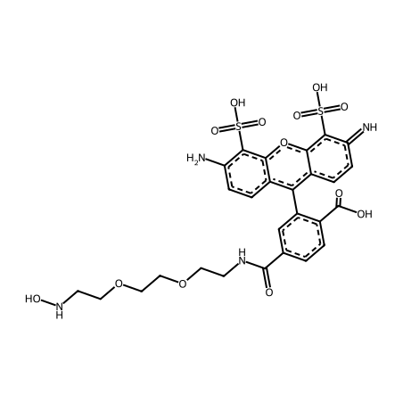 N=c1ccc2c(-c3cc(C(=O)NCCOCCOCCNO)ccc3C(=O)O)c3ccc(N)c(S(=O)(=O)O)c3oc-2c1S(=O)(=O)O